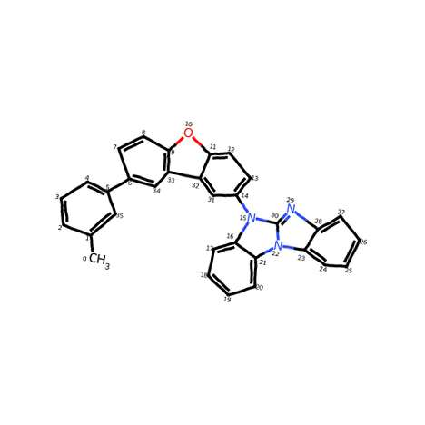 Cc1cccc(-c2ccc3oc4ccc(-n5c6ccccc6n6c7ccccc7nc56)cc4c3c2)c1